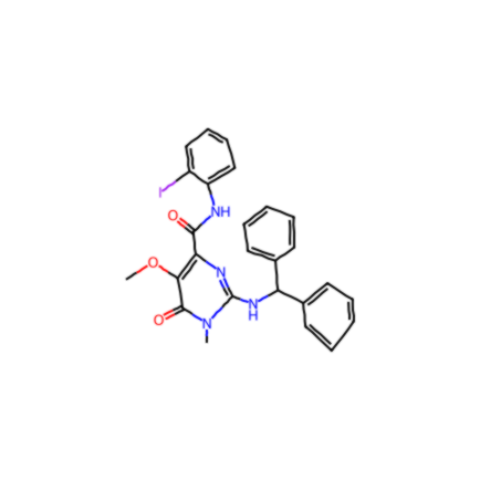 COc1c(C(=O)Nc2ccccc2I)nc(NC(c2ccccc2)c2ccccc2)n(C)c1=O